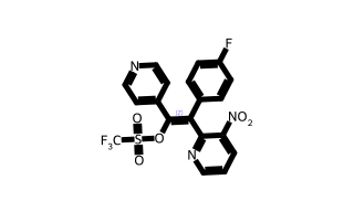 O=[N+]([O-])c1cccnc1/C(=C(\OS(=O)(=O)C(F)(F)F)c1ccncc1)c1ccc(F)cc1